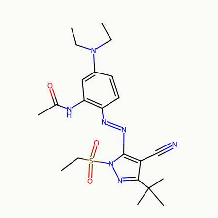 CCN(CC)c1ccc(/N=N/c2c(C#N)c(C(C)(C)C)nn2S(=O)(=O)CC)c(NC(C)=O)c1